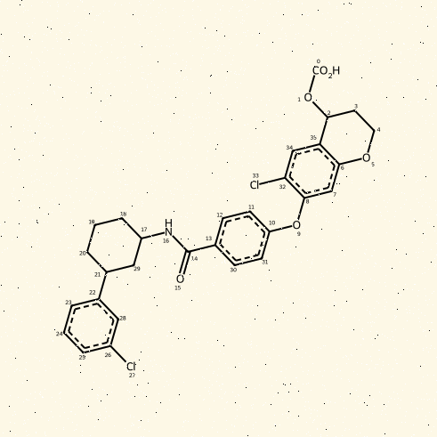 O=C(O)OC1CCOc2cc(Oc3ccc(C(=O)NC4CCCC(c5cccc(Cl)c5)C4)cc3)c(Cl)cc21